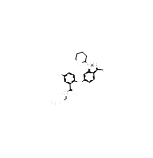 CCNC(=O)c1cc(F)ccc1Sc1ccc2c(I)nn(C3CCCCO3)c2c1